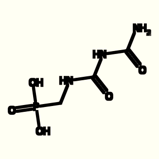 NC(=O)NC(=O)NCP(=O)(O)O